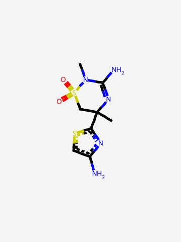 CN1C(N)=NC(C)(c2nc(N)cs2)CS1(=O)=O